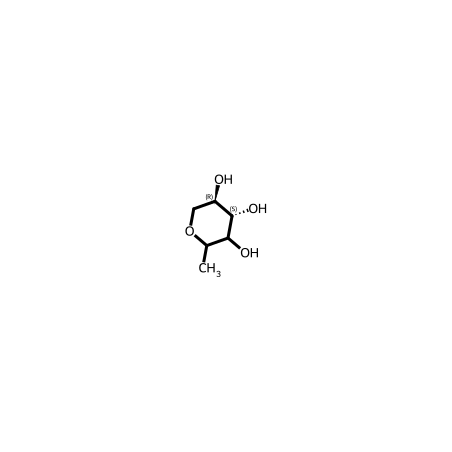 CC1OC[C@@H](O)[C@H](O)C1O